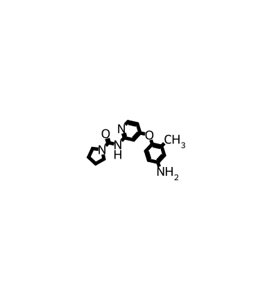 Cc1cc(N)ccc1Oc1ccnc(NC(=O)N2CCCC2)c1